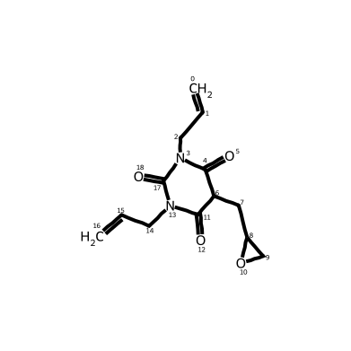 C=CCN1C(=O)C(CC2CO2)C(=O)N(CC=C)C1=O